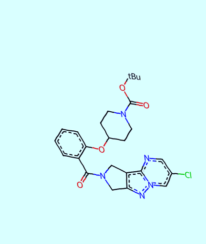 CC(C)(C)OC(=O)N1CCC(Oc2ccccc2C(=O)N2Cc3nn4cc(Cl)cnc4c3C2)CC1